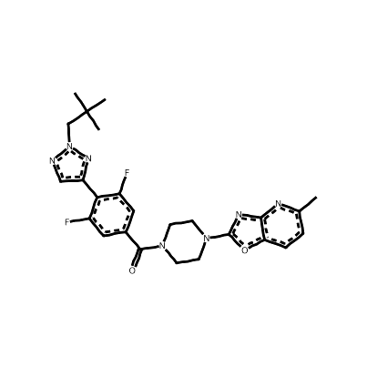 Cc1ccc2oc(N3CCN(C(=O)c4cc(F)c(-c5cnn(CC(C)(C)C)n5)c(F)c4)CC3)nc2n1